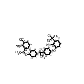 CCC(C)(Cl)c1cccc(Oc2ccc(C(c3ccc(OC(C)c4cccc(Cl)c4C#N)cc3)(C(F)(F)F)C(F)(F)F)cc2)c1C#N